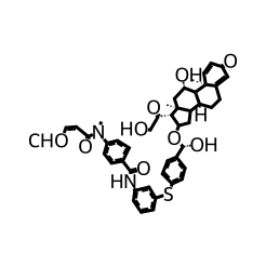 CN(C(=O)/C=C\C=O)c1ccc(C(=O)Nc2cccc(Sc3ccc([C@@H](O)OC4CC5[C@@H]6CCC7=CC(=O)C=C[C@]7(C)C6[C@@H](O)C[C@]5(C)[C@H]4C(=O)CO)cc3)c2)cc1